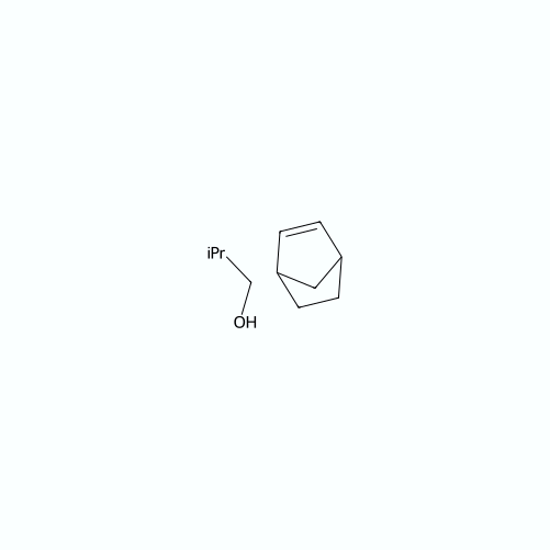 C1=CC2CCC1C2.CC(C)CO